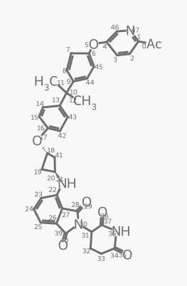 CC(=O)c1ccc(Oc2ccc(C(C)(C)c3ccc(O[C@H]4C[C@H](Nc5cccc6c5C(=O)N(C5CCC(=O)NC5=O)C6=O)C4)cc3)cc2)cn1